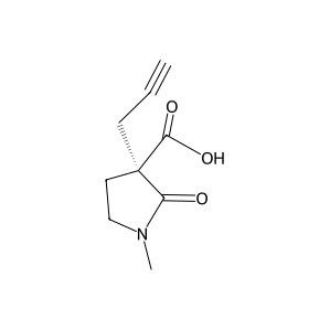 C#CC[C@@]1(C(=O)O)CCN(C)C1=O